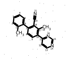 Cc1ccccc1-c1ccc(-c2ccncn2)c(C)c1C#N